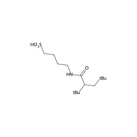 CC(C)(C)CC(C(=O)NCCCCS(=O)(=O)O)C(C)(C)C